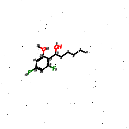 CCCCCC(O)c1c(F)cc(F)cc1OC